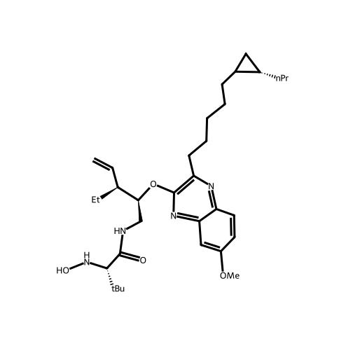 C=C[C@H](CC)[C@H](CNC(=O)[C@@H](NO)C(C)(C)C)Oc1nc2cc(OC)ccc2nc1CCCCCC1C[C@@H]1CCC